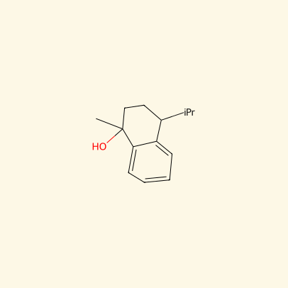 CC(C)C1CCC(C)(O)c2ccccc21